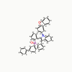 O=P1(c2cccc(-c3ccccc3)c2)c2ccccc2-c2c(n(-c3ccc4oc5ccccc5c4c3)c3ccccc23)-c2ccccc21